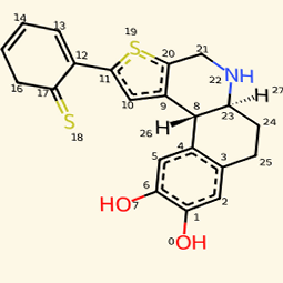 Oc1cc2c(cc1O)[C@@H]1c3cc(C4=CC=CCC4=S)sc3CN[C@H]1CC2